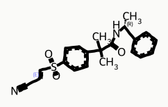 C[C@@H](NC(=O)C(C)(C)c1ccc(S(=O)(=O)/C=C/C#N)cc1)c1ccccc1